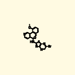 COc1cccc(F)c1-c1cnccc1C(=O)Nc1nc2ncc(Br)nc2s1